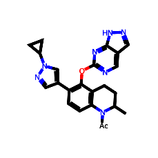 CC(=O)N1c2ccc(-c3cnn(C4CC4)c3)c(Oc3ncc4cn[nH]c4n3)c2CCC1C